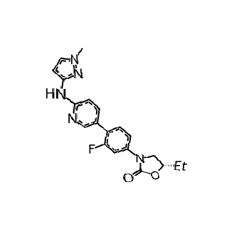 CC[C@H]1CN(c2ccc(-c3ccc(Nc4ccn(C)n4)nc3)c(F)c2)C(=O)O1